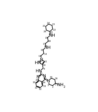 NC1CCN(c2nc(NCc3cn(CCCNCCCNC4CCCCC4)[nH]3)nc3ccccc23)CC1